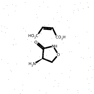 N[C@@H]1CONC1=O.O=C(O)/C=C\C(=O)O